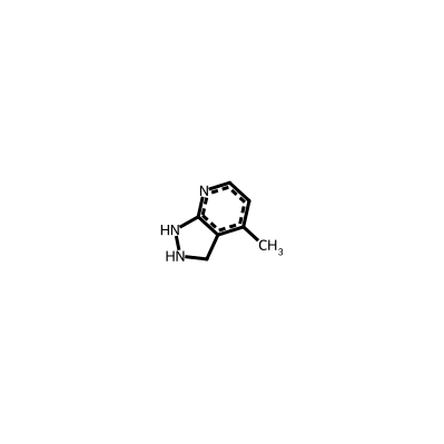 Cc1ccnc2c1CNN2